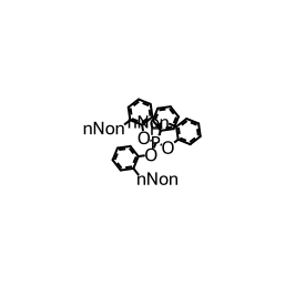 CCCCCCCCCc1ccccc1O[PH](Oc1ccccc1CCCCCCCCC)(Oc1ccccc1CCCCCCCCC)c1ccccc1